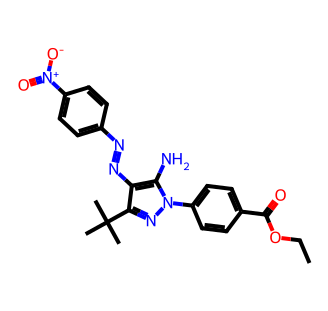 CCOC(=O)c1ccc(-n2nc(C(C)(C)C)c(N=Nc3ccc([N+](=O)[O-])cc3)c2N)cc1